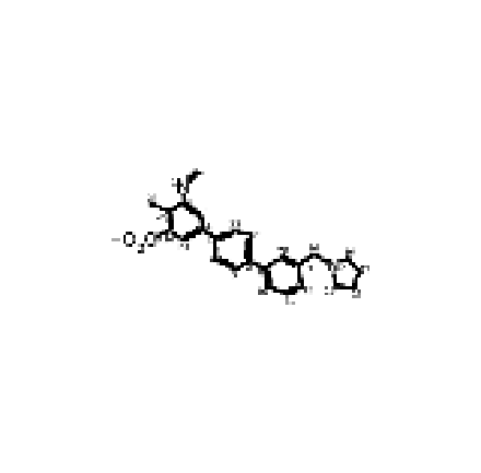 C=Nc1cc(-c2ccc(-c3cccc(CN4CCCC4)c3)cc2)cc(C(=O)O)c1C